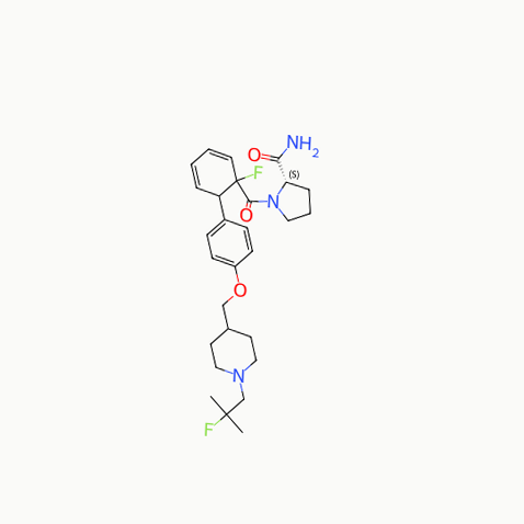 CC(C)(F)CN1CCC(COc2ccc(C3C=CC=CC3(F)C(=O)N3CCC[C@H]3C(N)=O)cc2)CC1